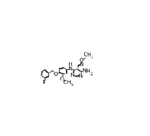 CCO/N=C/c1c(N)ncnc1Nc1ccc(OCc2cccc(F)c2)c(OC)c1